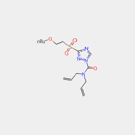 C=CCN(CC=C)C(=O)n1cnc(S(=O)(=O)CCOCCCC)n1